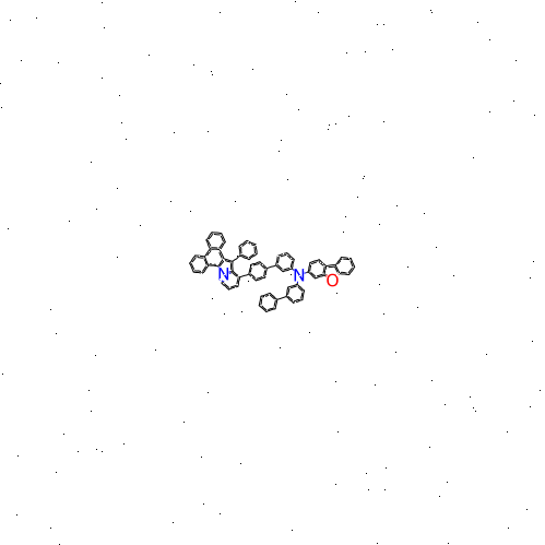 c1ccc(-c2cccc(N(c3cccc(-c4ccc(-c5cccn6c5c(-c5ccccc5)c5c7ccccc7c7ccccc7c56)cc4)c3)c3ccc4c(c3)oc3ccccc34)c2)cc1